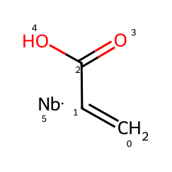 C=CC(=O)O.[Nb]